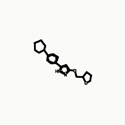 [CH]1CCC(c2ccc(-c3cc(OCC4CCCO4)n[nH]3)cc2)CC1